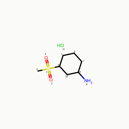 CS(=O)(=O)C1CCCC(N)C1.Cl